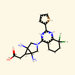 NC12CN(c3nc(-c4cccs4)nc4c3CCCC4(F)F)CC1(N)C2CC(=O)O